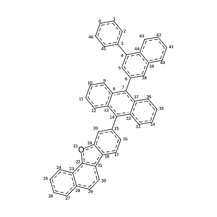 c1ccc(-c2cc(-c3c4ccccc4c(-c4ccc5c(c4)oc4c6ccccc6ccc54)c4ccccc34)cc3ccccc23)cc1